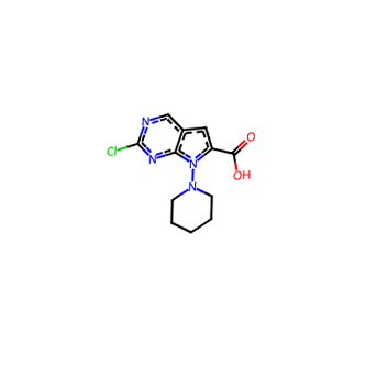 O=C(O)c1cc2cnc(Cl)nc2n1N1CCCCC1